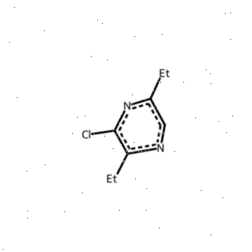 CCc1cnc(CC)c(Cl)n1